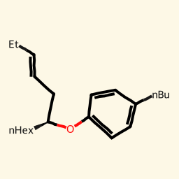 CC/C=C/C[C@H](CCCCCC)Oc1ccc(CCCC)cc1